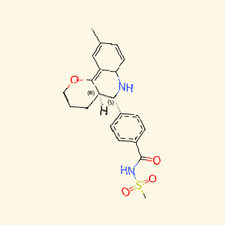 CC1=CC2=C3OCCC[C@@H]3[C@@H](c3ccc(C(=O)NS(C)(=O)=O)cc3)NC2C=C1